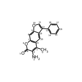 Cc1c(N)c(=O)oc2cc3occ(-c4ccccc4)c3cc12